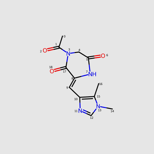 CC(=O)N1CC(=O)NC(=Cc2ncn(C)c2C)C1=O